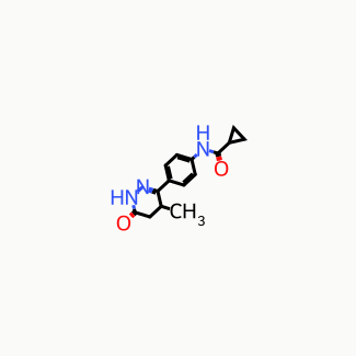 CC1CC(=O)NN=C1c1ccc(NC(=O)C2CC2)cc1